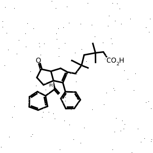 C=C(c1ccccc1)[C@@]12CCC(=O)C1CC(CC(C)(C)CC(C)(C)CC(=O)O)=C2c1ccccc1